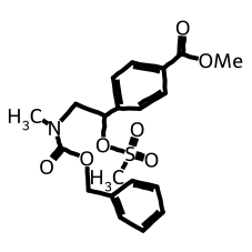 COC(=O)c1ccc(C(CN(C)C(=O)OCc2ccccc2)OS(C)(=O)=O)cc1